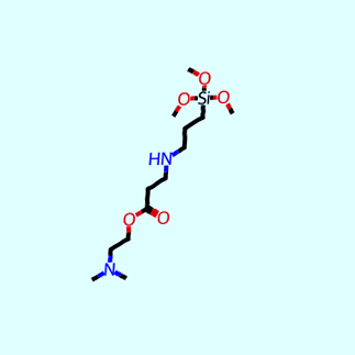 CO[Si](CCCNCCC(=O)OCCN(C)C)(OC)OC